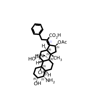 CC(=O)O[C@H]1C[C@@]2(C)[C@@H](C[C@@H](O)[C@H]3[C@@]4(C)CC[C@@H](O)[C@@H](N)[C@@H]4CC[C@@]32CN)/C1=C(\Cc1ccccc1)C(=O)O